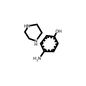 C1CNCCN1.Nc1ccc(O)cc1